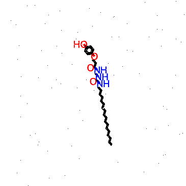 CCCCCCCCCCCCCCCCCCNC(=O)NCNC(=O)CCOc1ccc(O)cc1